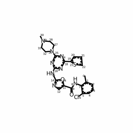 Cc1cccc(Cl)c1NC(=O)c1cnc(Nc2nc(-c3cccs3)nc(N3CCN(C)CC3)n2)o1